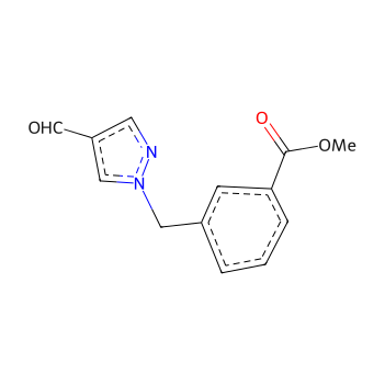 COC(=O)c1cccc(Cn2cc(C=O)cn2)c1